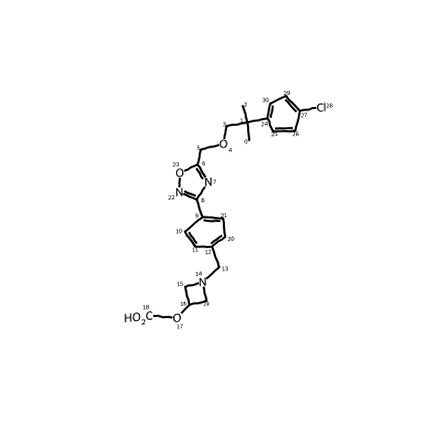 CC(C)(COCc1nc(-c2ccc(CN3CC(OC(=O)O)C3)cc2)no1)c1ccc(Cl)cc1